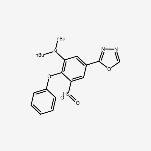 CCCCN(CCCC)c1cc(-c2nnco2)cc([SH](=O)=O)c1Oc1ccccc1